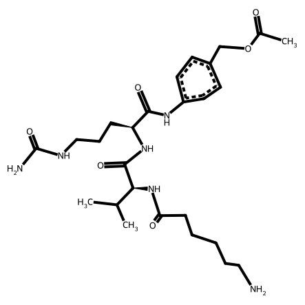 CC(=O)OCc1ccc(NC(=O)[C@H](CCCNC(N)=O)NC(=O)[C@@H](NC(=O)CCCCCN)C(C)C)cc1